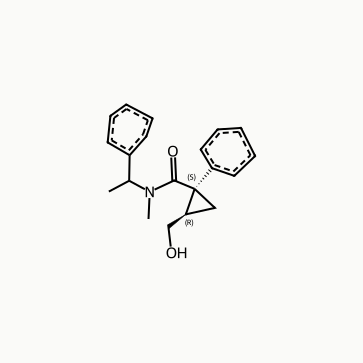 CC(c1ccccc1)N(C)C(=O)[C@@]1(c2ccccc2)C[C@H]1CO